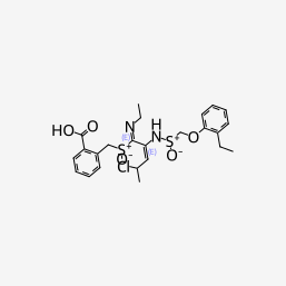 CC/N=C(\C(=C/C(C)Cl)N[S+]([O-])COc1ccccc1CC)[S+]([O-])Cc1ccccc1C(=O)O